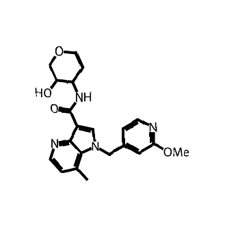 COc1cc(Cn2cc(C(=O)NC3CCOCC3O)c3nccc(C)c32)ccn1